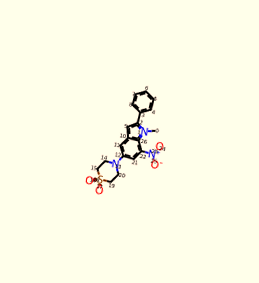 Cn1c(-c2ccccc2)cc2cc(N3CCS(=O)(=O)CC3)cc([N+](=O)[O-])c21